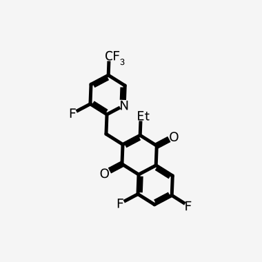 CCC1=C(Cc2ncc(C(F)(F)F)cc2F)C(=O)c2c(F)cc(F)cc2C1=O